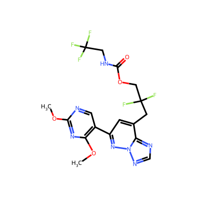 COc1ncc(-c2cc(CC(F)(F)COC(=O)NCC(F)(F)F)c3ncnn3n2)c(OC)n1